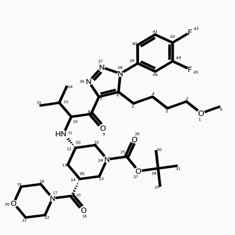 COCCCCc1c(C(=O)C(N[C@H]2C[C@@H](C(=O)N3CCOCC3)CN(C(=O)OC(C)(C)C)C2)C(C)C)nnn1-c1ccc(F)c(F)c1